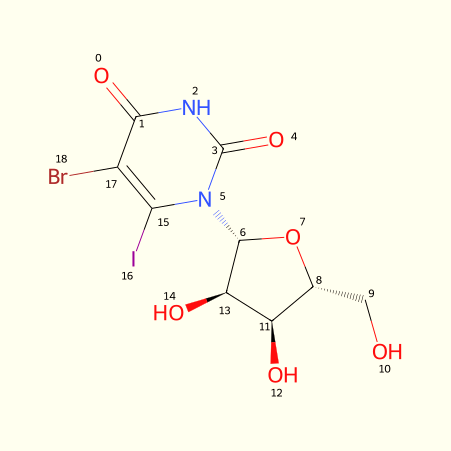 O=c1[nH]c(=O)n([C@@H]2O[C@H](CO)[C@@H](O)[C@H]2O)c(I)c1Br